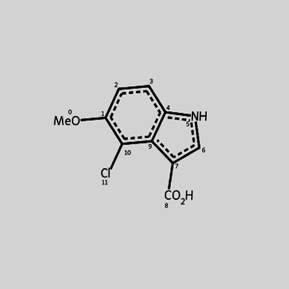 COc1ccc2[nH]cc(C(=O)O)c2c1Cl